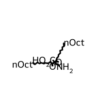 CCCCCCCCC=CCCCCCCCC(=O)C(CCN)(C(=O)O)C(=O)CCCCCCCC=CCCCCCCCC